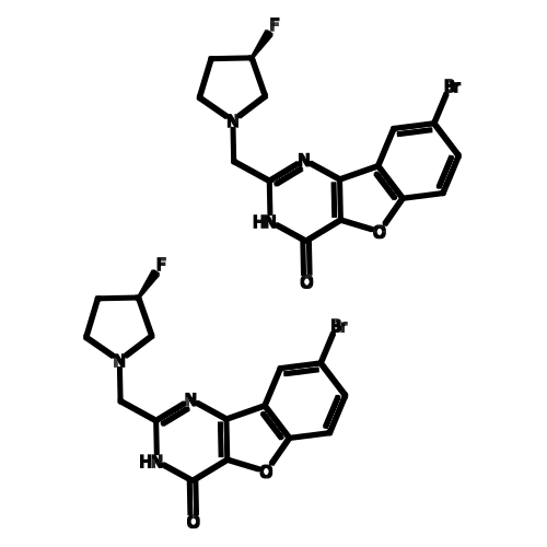 O=c1[nH]c(CN2CC[C@@H](F)C2)nc2c1oc1ccc(Br)cc12.O=c1[nH]c(CN2CC[C@@H](F)C2)nc2c1oc1ccc(Br)cc12